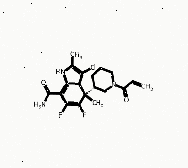 C=CC(=O)N1CCC[C@@H](C2(C)C(F)=C(F)C(C(N)=O)=C3NC(C)=C(Cl)C32)C1